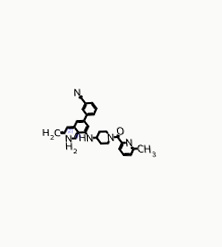 C=C/C=c1/cc(-c2cccc(C#N)c2)cc(NC2CCN(C(=O)c3cccc(C)n3)CC2)/c1=C/N